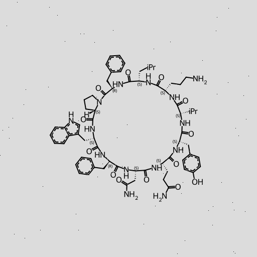 CC(C)C[C@@H]1NC(=O)[C@H](CCCN)NC(=O)[C@H](C(C)C)NC(=O)[C@H](Cc2ccc(O)cc2)NC(=O)[C@H](CCC(N)=O)NC(=O)[C@H](CC(N)=O)NC(=O)[C@@H](Cc2ccccc2)NC(=O)[C@H](Cc2c[nH]c3ccccc23)NC(=O)[C@@H]2CCCN2C(=O)[C@@H](Cc2ccccc2)NC1=O